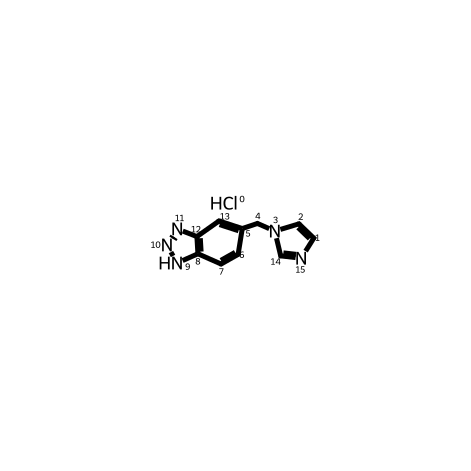 Cl.c1cn(Cc2ccc3[nH]nnc3c2)cn1